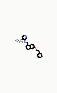 O=C(O)c1ccncc1NCC1CCCc2cc(OCCc3ccccc3)ccc21